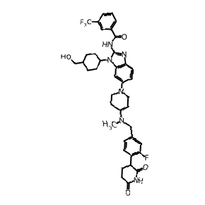 CN(Cc1ccc(C2CCC(=O)NC2=O)c(F)c1)C1CCN(c2ccc3nc(NC(=O)c4cccc(C(F)(F)F)c4)n(C4CCC(CO)CC4)c3c2)CC1